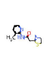 Cc1cccnc1NC(=O)CC1=NCCS1